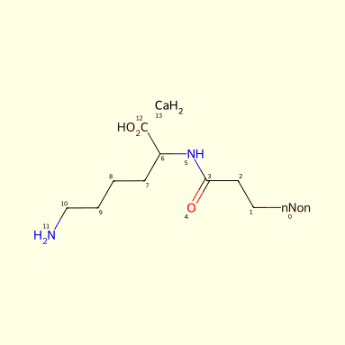 CCCCCCCCCCCC(=O)NC(CCCCN)C(=O)O.[CaH2]